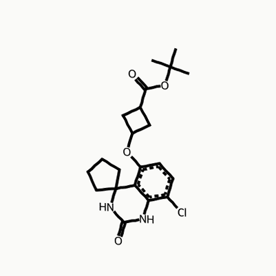 CC(C)(C)OC(=O)C1CC(Oc2ccc(Cl)c3c2C2(CCCC2)NC(=O)N3)C1